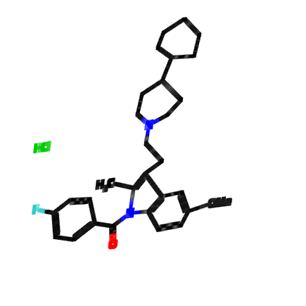 COc1ccc2c(c1)c(CCN1CCC(C3CCCCC3)CC1)c(C)n2C(=O)c1ccc(F)cc1.Cl